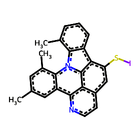 Cc1cc(C)c2c(c1)c1nccc3cc(SI)c4c5cccc(C)c5n2c4c31